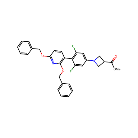 COC(=O)C1CN(c2cc(F)c(-c3ccc(OCc4ccccc4)nc3OCc3ccccc3)c(F)c2)C1